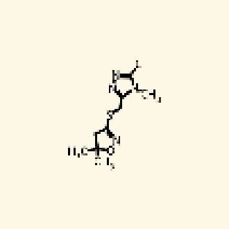 Cn1c(Cl)nnc1CSC1=NOC(C)(C)C1